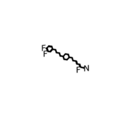 N#CC(F)=CC=CCCC1CCC(CCCCc2ccc(F)c(F)c2)CC1